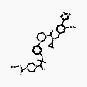 COc1cc(CN(C(=O)[C@@H]2CCCN(c3cccc(OC(C)(C)C(=O)N4CCN(C(=O)OC(C)(C)C)CC4)c3)C2)C2CC2)ccc1-c1cn[nH]c1